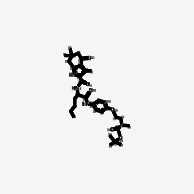 CCCCC(NC(=O)c1[nH]c2c(c1C)C(=O)CC(C)(C)C2)C(=O)Nc1ccc(OCCN(C)C(=O)OC(C)(C)C)nc1